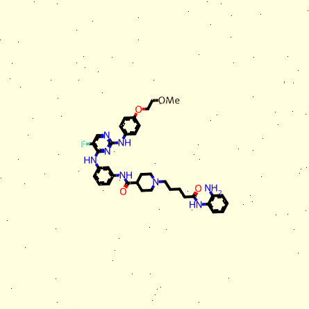 COCCOc1ccc(Nc2ncc(F)c(Nc3cccc(NC(=O)C4CCN(CCCCC(=O)Nc5ccccc5N)CC4)c3)n2)cc1